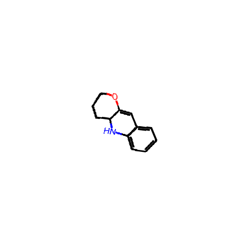 C1=C2OCCCC2Nc2ccccc21